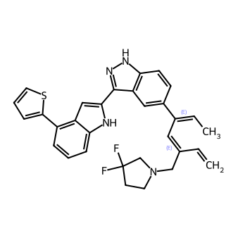 C=C/C(=C\C(=C/C)c1ccc2[nH]nc(-c3cc4c(-c5cccs5)cccc4[nH]3)c2c1)CN1CCC(F)(F)C1